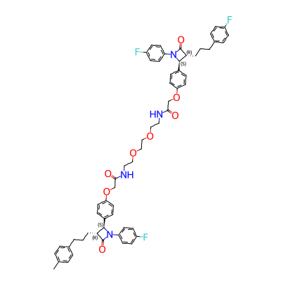 Cc1ccc(CCC[C@H]2C(=O)N(c3ccc(F)cc3)[C@@H]2c2ccc(OCC(=O)NCCOCCOCCNC(=O)COc3ccc([C@@H]4[C@@H](CCCc5ccc(F)cc5)C(=O)N4c4ccc(F)cc4)cc3)cc2)cc1